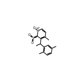 CC1=C(C(C)c2cc(C)ccc2C)C(=S(=O)=O)[NH+]([O-])C=C1